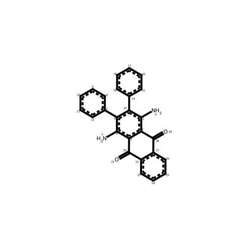 Nc1c2c(c(N)c(-c3ccccc3)c1-c1ccccc1)C(=O)c1ccccc1C2=O